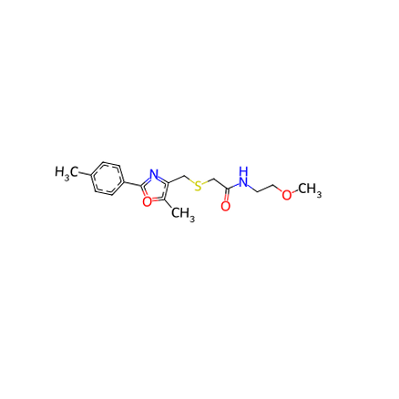 COCCNC(=O)CSCc1nc(-c2ccc(C)cc2)oc1C